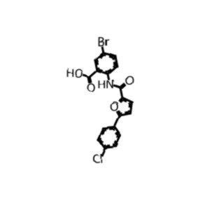 O=C(Nc1ccc(Br)cc1C(=O)O)c1ccc(-c2ccc(Cl)cc2)o1